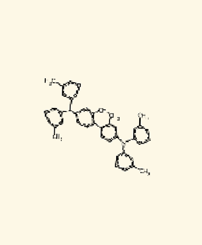 Cc1cccc(C(c2cccc(C)c2)c2ccc(-c3ccc(N(c4cccc(C)c4)c4cccc(C)c4)cc3C)c(C)c2)c1